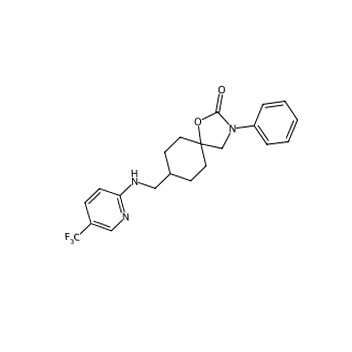 O=C1OC2(CCC(CNc3ccc(C(F)(F)F)cn3)CC2)CN1c1ccccc1